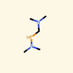 CN(C)CPN(C)C